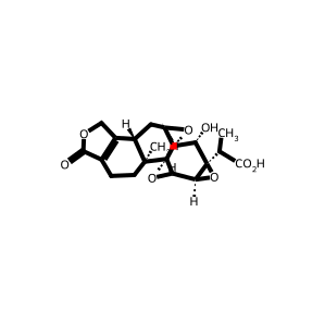 CC(C(=O)O)[C@]12O[C@H]1[C@@H]1O[C@]13[C@]1(O[C@H]1C[C@H]1C4=C(CC[C@@]13C)C(=O)OC4)[C@@H]2O